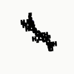 CC(C)(c1ccc(OCC(O)CN(N)/C=C(\N)CSF)cc1)c1ccc(OC[C@@H](O)CCl)c(F)c1